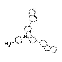 Cc1ccc(-n2c3ccc(-c4ccc5c(c4)Cc4ccccc4-5)cc3c3cc(-c4ccc5ccccc5c4)ccc32)cc1